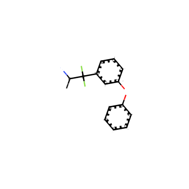 NC(C(=O)O)C(F)(F)c1cccc(Oc2ccccc2)c1